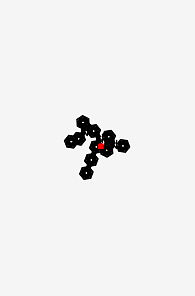 c1ccc(-c2ccc(-c3ccc(N(c4ccc5c6ccccc6n(-c6ccc7ccccc7c6)c5c4)c4cccc5c4c4ccccc4n5-c4ccccc4)cc3)cc2)cc1